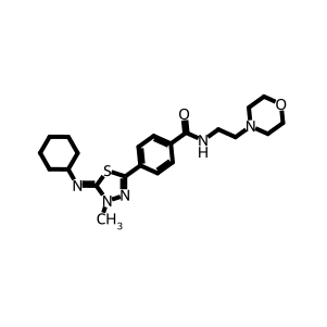 Cn1nc(-c2ccc(C(=O)NCCN3CCOCC3)cc2)sc1=NC1CCCCC1